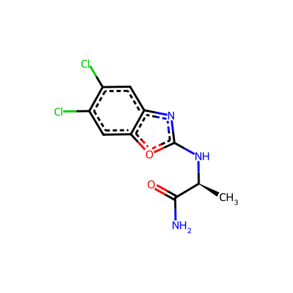 C[C@H](Nc1nc2cc(Cl)c(Cl)cc2o1)C(N)=O